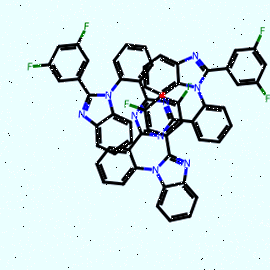 Fc1cc(F)cc(-c2nc3ccccc3n2-c2ccccc2-c2nc(-c3ccccc3-n3c(-c4cc(F)cc(F)c4)nc4ccccc43)nc(-c3ccccc3-n3c(-c4cc(F)cc(F)c4)nc4ccccc43)n2)c1